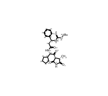 C[C@@H]1C(=O)NC(=O)[C@H]1C(=O)[C@@H](NC(=O)C[C@H](NC(=O)OC(C)(C)C)c1ccccc1)C1CCCC1